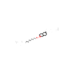 C=CCCCCCCCCCOc1ccc2cc(C(=O)O)ccc2c1